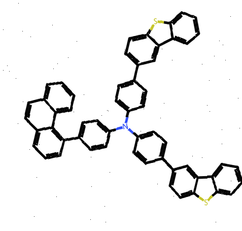 c1ccc2c(c1)ccc1cccc(-c3ccc(N(c4ccc(-c5ccc6sc7ccccc7c6c5)cc4)c4ccc(-c5ccc6sc7ccccc7c6c5)cc4)cc3)c12